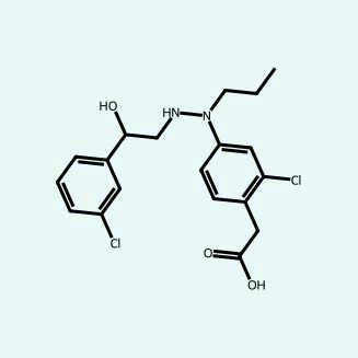 CCCN(NCC(O)c1cccc(Cl)c1)c1ccc(CC(=O)O)c(Cl)c1